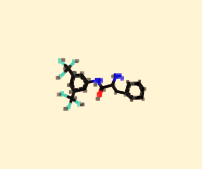 NC(Cc1ccccc1)C(=O)Nc1cc(C(F)(F)F)cc(C(F)(F)F)c1